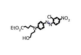 CCOC(=O)CCCN(CCCO)c1ccc(/N=N/c2ccc([N+](=O)[O-])cc2Cl)cc1